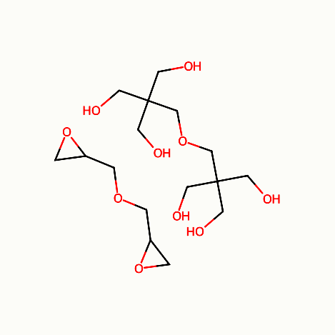 C(OCC1CO1)C1CO1.OCC(CO)(CO)COCC(CO)(CO)CO